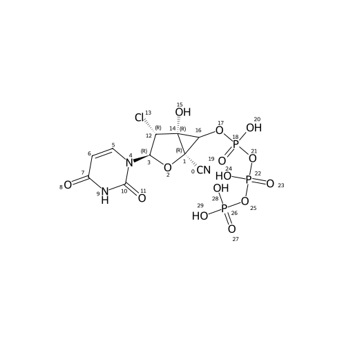 N#C[C@]12O[C@@H](n3ccc(=O)[nH]c3=O)[C@H](Cl)[C@@]1(O)C2OP(=O)(O)OP(=O)(O)OP(=O)(O)O